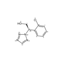 OC[C@@H](c1ccccc1Cl)n1ncnn1